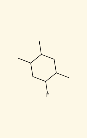 CC1CC(C)C(F)CC1C